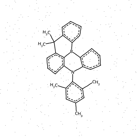 Cc1cc(C)c(N2c3ccccc3B3c4ccccc4C(C)(C)c4cccc2c43)c(C)c1